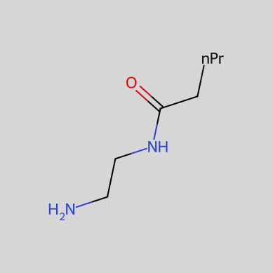 CCCCC(=O)NCCN